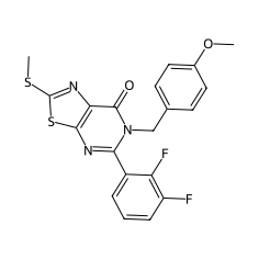 COc1ccc(Cn2c(-c3cccc(F)c3F)nc3sc(SC)nc3c2=O)cc1